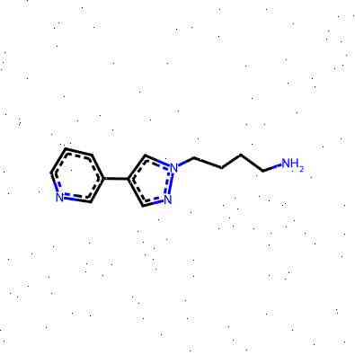 NCCCCn1cc(-c2cccnc2)cn1